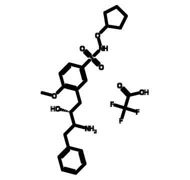 COc1ccc(S(=O)(=O)NOC2CCCC2)cc1C[C@@H](O)C(N)Cc1ccccc1.O=C(O)C(F)(F)F